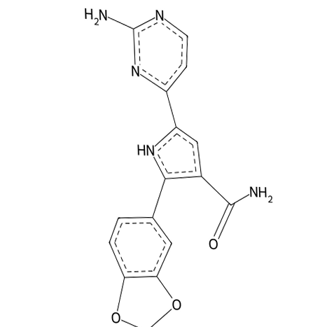 NC(=O)c1cc(-c2ccnc(N)n2)[nH]c1-c1ccc2c(c1)OCO2